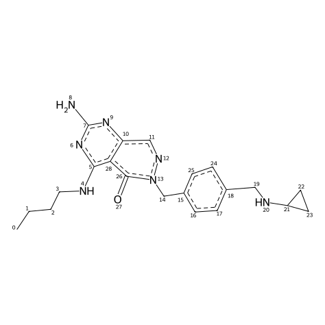 CCCCNc1nc(N)nc2cnn(Cc3ccc(CNC4CC4)cc3)c(=O)c12